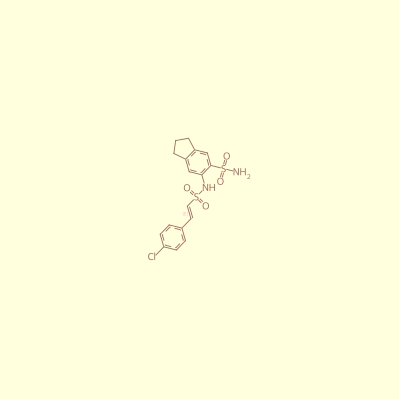 NS(=O)(=O)c1cc2c(cc1NS(=O)(=O)/C=C/c1ccc(Cl)cc1)CCC2